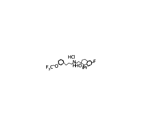 CC(C)C1c2ccc(F)cc2CCC1(O)CCNCCCc1cccc(OCC(F)(F)F)c1.Cl